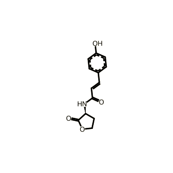 O=C(C=Cc1ccc(O)cc1)N[C@H]1CCOC1=O